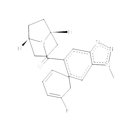 Cn1nnc2cc(C(=O)N3[C@@H]4CC[C@H]3C[C@@H](C3=CC=C(F)CC3)C4)ccc21